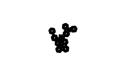 c1ccc(-c2cccc(-c3nc(-c4ccc5c(c4)c4ccccc4n5-c4ccccc4)c4ccc5c(c4n3)C(c3ccccc3)(c3ccccc3)c3ccccc3-5)c2)cc1